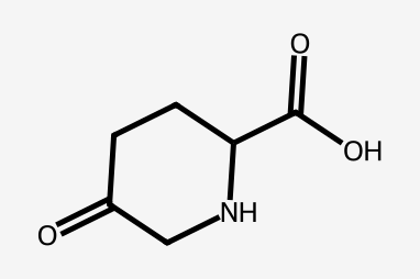 O=C1CCC(C(=O)O)NC1